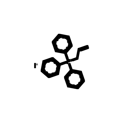 C=CC[P+](c1ccccc1)(c1ccccc1)c1ccccc1.[I-]